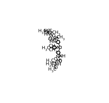 COC(=O)N[C@H](C(=O)N1CCC[C@H]1C(=O)Nc1cc(C2CCC(c3ccc4nc([C@@H]5CCCN5C(=O)[C@@H](NC(=O)OC)C(C)C)[nH]c4c3)N2c2ccc(C(C)(C)C)cc2)ccc1OC)C(C)C